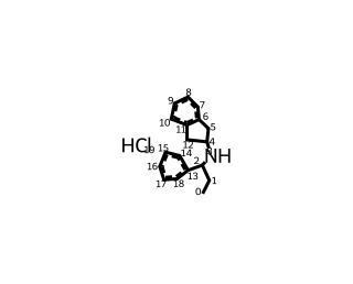 CCC(NC1Cc2ccccc2C1)c1ccccc1.Cl